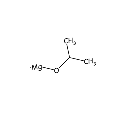 CC(C)[O][Mg]